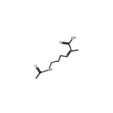 CC(=O)NCCCC=C(C)C(=O)O